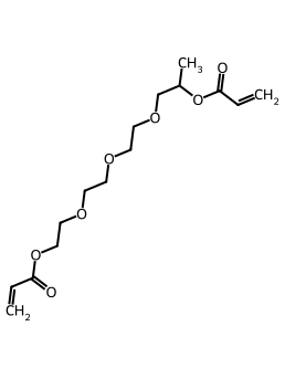 C=CC(=O)OCCOCCOCCOCC(C)OC(=O)C=C